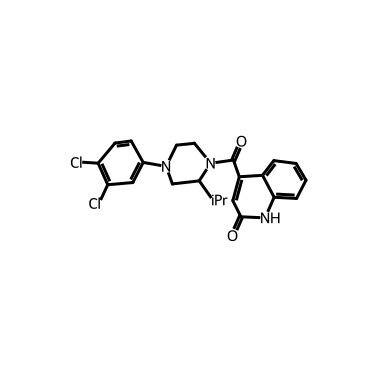 CC(C)C1CN(c2ccc(Cl)c(Cl)c2)CCN1C(=O)c1cc(=O)[nH]c2ccccc12